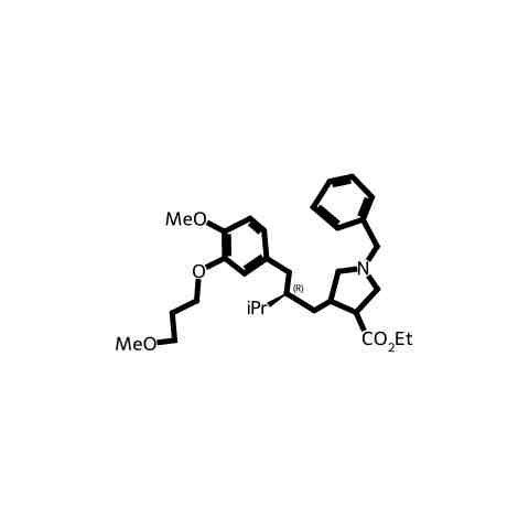 CCOC(=O)C1CN(Cc2ccccc2)CC1C[C@H](Cc1ccc(OC)c(OCCCOC)c1)C(C)C